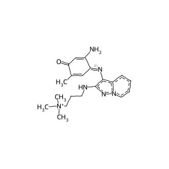 CC1=C/C(=N\c2c(NCCC[N+](C)(C)C)nn3ccccc23)C(N)=CC1=O